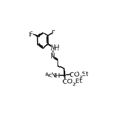 CCOC(=O)C(CC/C=N/Nc1ccc(F)cc1F)(NC(C)=O)C(=O)OCC